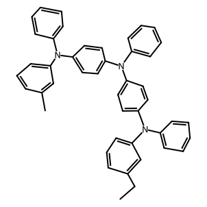 CCc1cccc(N(c2ccccc2)c2ccc(N(c3ccccc3)c3ccc(N(c4ccccc4)c4cccc(C)c4)cc3)cc2)c1